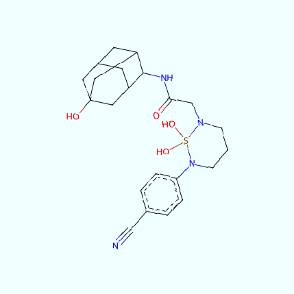 N#Cc1ccc(N2CCCN(CC(=O)NC3C4CC5CC3CC(O)(C5)C4)S2(O)O)cc1